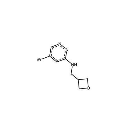 CC(C)c1cnnc(NCC2COC2)c1